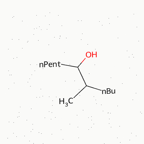 CCCCCC(O)C(C)CCCC